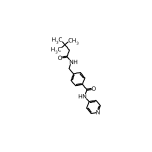 CC(C)(C)CC(=O)NCc1ccc(C(=O)Nc2ccncc2)cc1